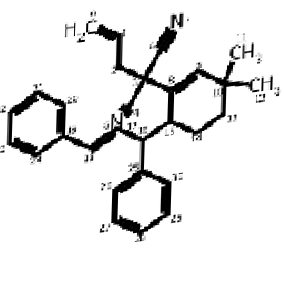 C=CCC(C#N)(C#N)C1=CC(C)(C)CCC1C(C=Cc1ccccc1)c1ccccc1